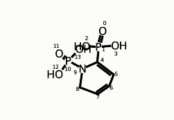 O=P(O)(O)C1=CC=CCN1P(=O)(O)O